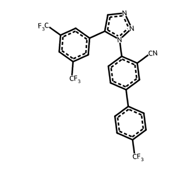 N#Cc1cc(-c2ccc(C(F)(F)F)cc2)ccc1-n1nncc1-c1cc(C(F)(F)F)cc(C(F)(F)F)c1